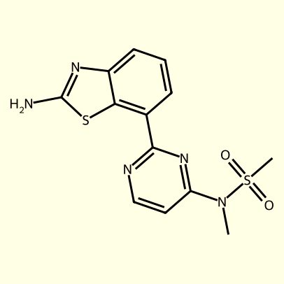 CN(c1ccnc(-c2cccc3nc(N)sc23)n1)S(C)(=O)=O